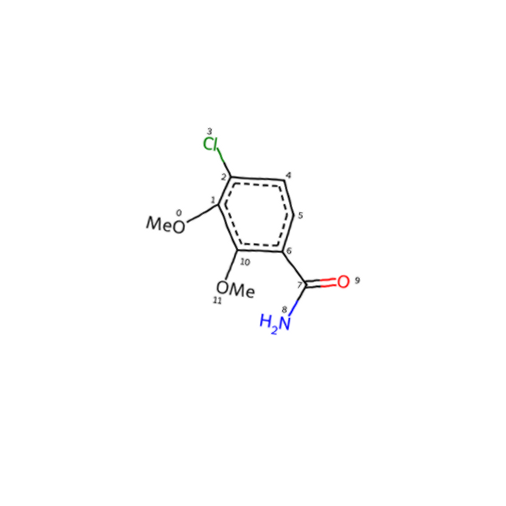 COc1c(Cl)ccc(C(N)=O)c1OC